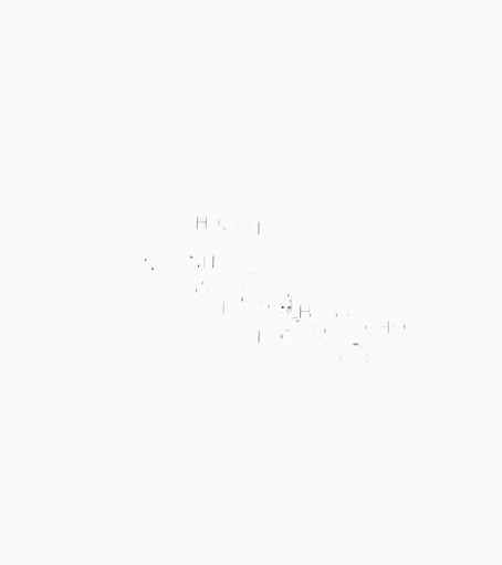 CC1C(OC(=O)c2ccccc2C=O)CCC2(C)C13CCC1(C)C23CC=C2C3CC(C)(C)CCC3(C(=O)NCCN3CCCCC3)CC[C@]21C